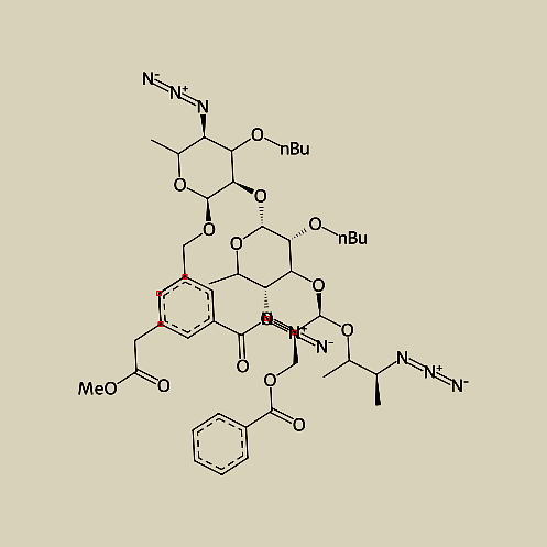 CCCCOC1[C@H](N=[N+]=[N-])C(C)O[C@H](OCCCCCC(=O)OC)[C@@H]1O[C@H]1OC(C)[C@@H](N=[N+]=[N-])C(O[C@@H](OC(C)[C@H](C)N=[N+]=[N-])[C@@H](COC(=O)c2ccccc2)OC(=O)c2ccccc2)[C@H]1OCCCC